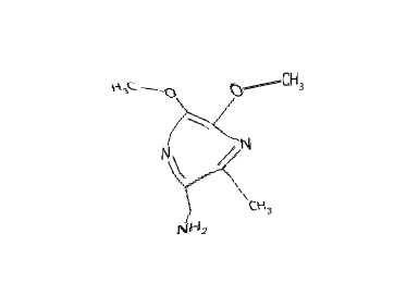 COc1nc(C)c(N)nc1OC